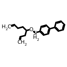 C=CCCC(CC=C)O[SiH2]c1ccc(-c2ccccc2)cc1